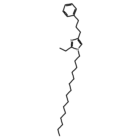 CCCCCCCCCCCCCCCn1cc(CCCc2ccccc2)nc1CC